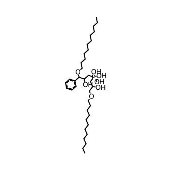 CCCCCCCCCCCCOCC(O)CP(O)(O)(O)CC(O)C(OCCCCCCCCCCCC)c1ccccc1